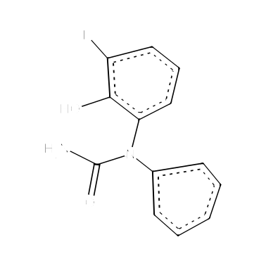 NC(=O)N(c1ccccc1)c1cccc(F)c1O